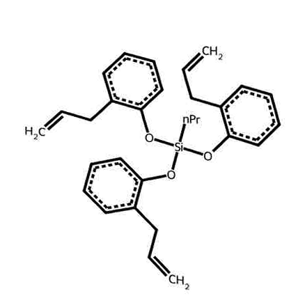 C=CCc1ccccc1O[Si](CCC)(Oc1ccccc1CC=C)Oc1ccccc1CC=C